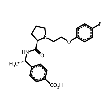 C[C@H](NC(=O)[C@H]1CCCN1CCOc1ccc(F)cc1)c1ccc(C(=O)O)cc1